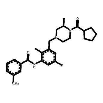 COc1cccc(C(=O)Nc2cc(F)cc(CN3CCN(C(=O)C4CCCC4)C(C)C3)c2C)c1